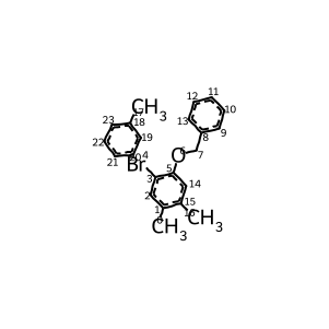 Cc1cc(Br)c(OCc2ccccc2)cc1C.Cc1ccccc1